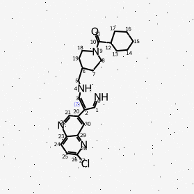 N=C/C(=C\NCC1CCN(C(=O)C2CCCCC2)CC1)c1cnc2ccc(Cl)nc2c1